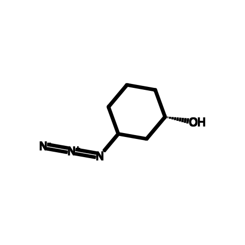 [N-]=[N+]=NC1CCC[C@H](O)C1